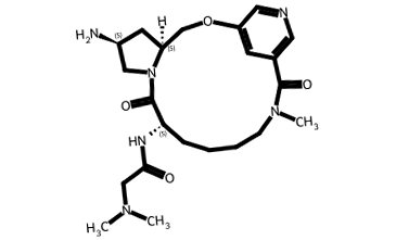 CN(C)CC(=O)N[C@H]1CCCCN(C)C(=O)c2cncc(c2)OC[C@@H]2C[C@H](N)CN2C1=O